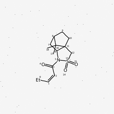 CC/C=C\C(=O)N1C2CC3CCC2(CS1(=O)=O)C3(C)C